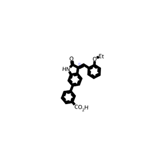 CCOc1ccccc1/C=C1/C(=O)Nc2cc(-c3cccc(C(=O)O)c3)ccc21